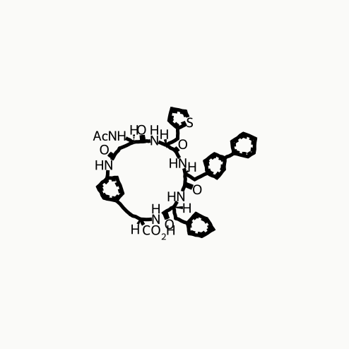 CC(=O)N[C@@H]1CC(=O)Nc2ccc(cc2)C[C@@H](C(=O)O)NC(=O)[C@@H](Cc2ccccc2)NC(=O)[C@H](Cc2ccc(-c3ccccc3)cc2)NC(=O)[C@@H](Cc2cccs2)NC1=O